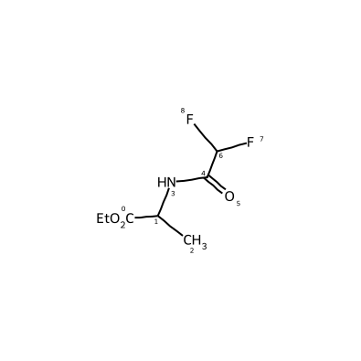 CCOC(=O)C(C)NC(=O)C(F)F